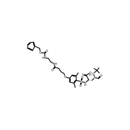 Cc1cc(OCCCC(=O)NCCNC(=O)OCc2ccccc2)cc(C)c1S(=O)(=O)N[C@@H](CN(C=O)OC(C)(C)C)C(=O)O